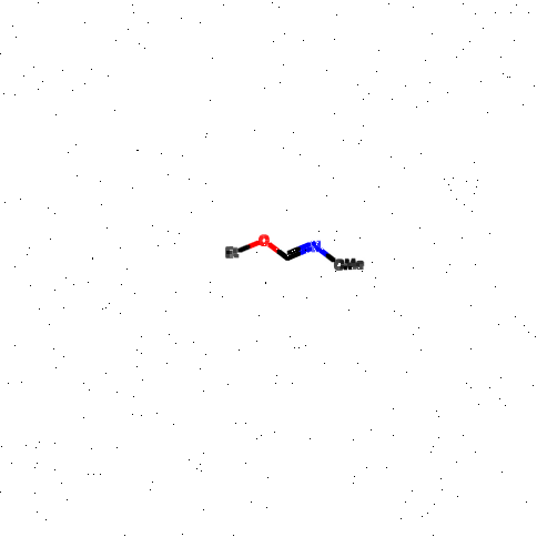 CCOC=NOC